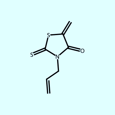 C=CCN1C(=O)C(=C)SC1=S